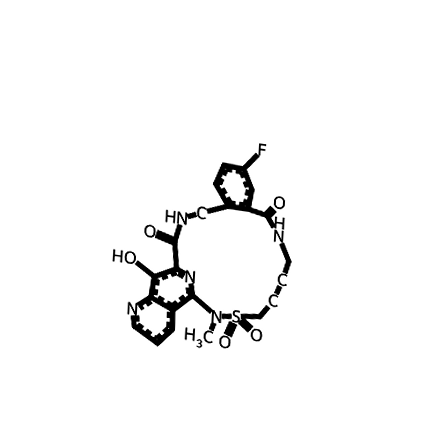 CN1c2nc(c(O)c3ncccc23)C(=O)NCc2ccc(F)cc2C(=O)NCCCCS1(=O)=O